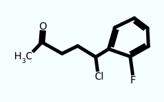 CC(=O)CCC(Cl)c1ccccc1F